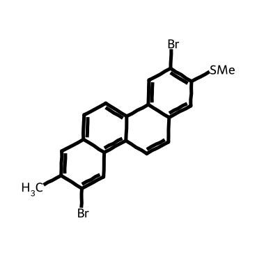 CSc1cc2ccc3c4cc(Br)c(C)cc4ccc3c2cc1Br